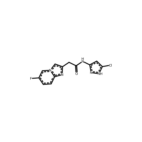 O=C(Cc1cn2cc(F)ccc2n1)Nc1cc(Cl)[nH]n1